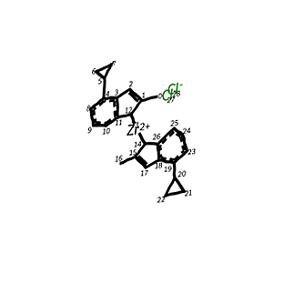 CC1=Cc2c(C3CC3)cccc2[CH]1[Zr+2][CH]1C(C)=Cc2c(C3CC3)cccc21.[Cl-].[Cl-]